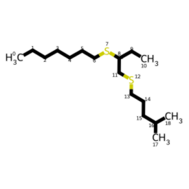 CCCCCCCS[C](CC)CSCCCC(C)C